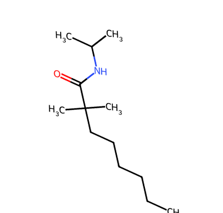 CCCCCCC(C)(C)C(=O)NC(C)C